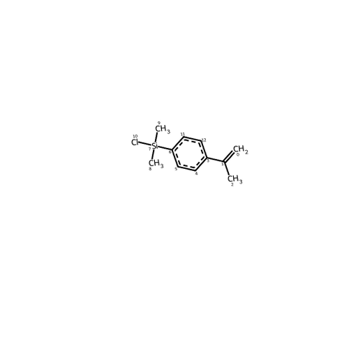 C=C(C)c1ccc([Si](C)(C)Cl)cc1